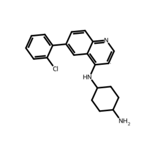 NC1CCC(Nc2[c]cnc3ccc(-c4ccccc4Cl)cc23)CC1